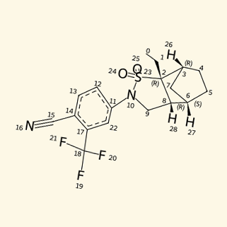 CC[C@@]12[C@@H]3CC[C@@H](C3)[C@@H]1CN(c1ccc(C#N)c(C(F)(F)F)c1)S2(=O)=O